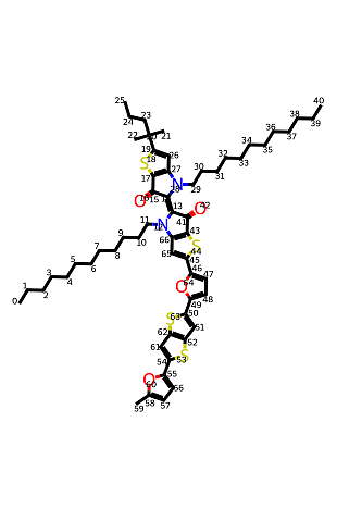 CCCCCCCCCCCCN1/C(=C2\C(=O)c3sc(C(C)(C)CCC)cc3N2CCCCCCCCCCCC)C(=O)c2sc(-c3ccc(-c4cc5sc(-c6ccc(C)o6)cc5s4)o3)cc21